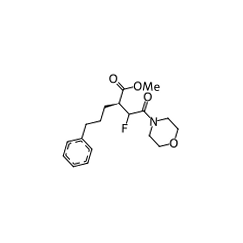 COC(=O)[C@H](CCCc1ccccc1)C(F)C(=O)N1CCOCC1